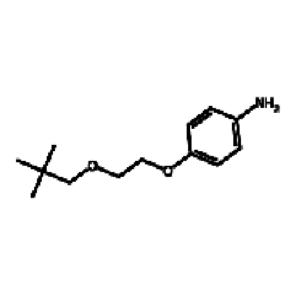 CC(C)(C)COCCOc1ccc(N)cc1